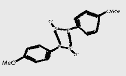 COc1ccc(P2[S+]([O-])P(c3ccc(OC)cc3)[S+]2[O-])cc1